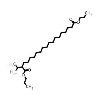 CCCOC(=O)CCCCCCCCCCCCCCCCC(C(=O)OCCC)C(C)C